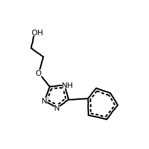 OCCOc1nnc(-c2ccccc2)[nH]1